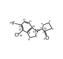 O=C1CCC[C@@H]1N1CCc2c1ccc(F)c2Cl